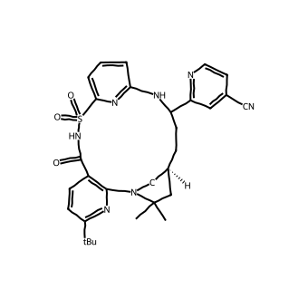 CC(C)(C)c1ccc2c(n1)N1C[C@@H](CCC(c3cc(C#N)ccn3)Nc3cccc(n3)S(=O)(=O)NC2=O)CC1(C)C